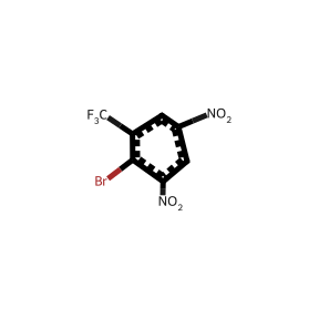 O=[N+]([O-])c1cc([N+](=O)[O-])c(Br)c(C(F)(F)F)c1